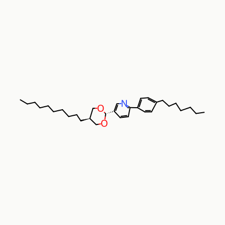 CCCCCCCCCC[C@H]1CO[C@H](c2ccc(-c3ccc(CCCCCCC)cc3)nc2)OC1